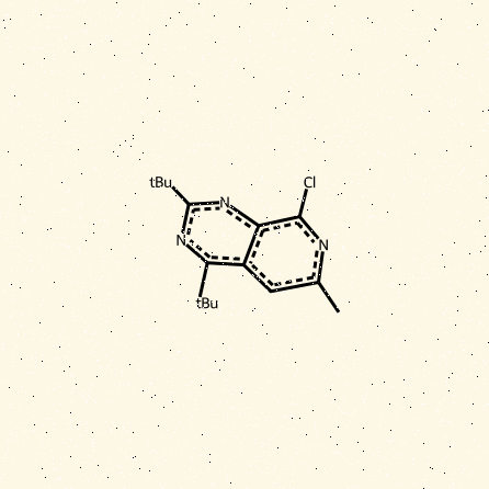 Cc1cc2c(C(C)(C)C)nc(C(C)(C)C)nc2c(Cl)n1